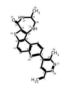 C=Cc1cc(-c2ccc3c(ccc4sc5c(c43)NCC(C)NC5=O)n2)c(C)nn1